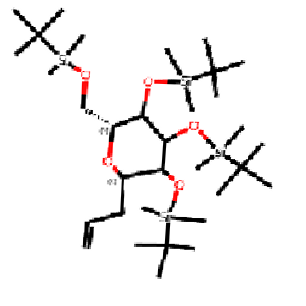 C=CC[C@H]1O[C@H](CO[Si](C)(C)C(C)(C)C)C(O[Si](C)(C)C(C)(C)C)C(O[Si](C)(C)C(C)(C)C)C1O[Si](C)(C)C(C)(C)C